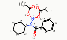 CC(=O)ON(OC(C)=O)N(C(=O)c1ccccc1)C1CCCCC1